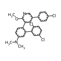 COc1ncc(-c2ccc(Cl)cc2)cc1-c1ccc(N(C)C)cc1-c1cc(Cl)ccc1Cl